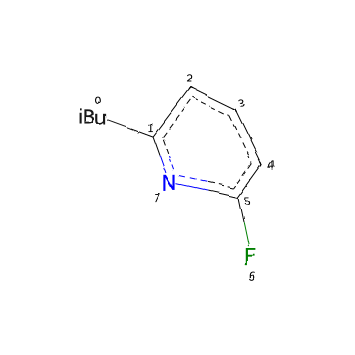 CCC(C)c1cccc(F)n1